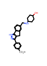 O=C(O)c1ccc(-c2n[nH]c3c2Cc2cc(CNC4CCC(O)CC4)ccc2-3)cc1